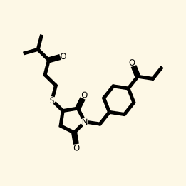 CCC(=O)C1CCC(CN2C(=O)CC(SCCC(=O)C(C)C)C2=O)CC1